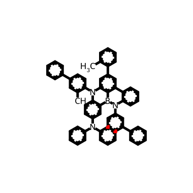 Cc1ccccc1-c1cc2c3c(c1)N(c1ccc(-c4ccccc4)cc1C)c1ccc(N(c4ccccc4)c4ccccc4)cc1B3N(c1cccc(-c3ccccc3)c1)c1ccccc1-2